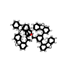 c1ccc(-c2cc(-c3cccc4oc5ccc(-n6c(-c7ccccc7)nc7ccccc76)cc5c34)nc(-c3cc(-c4cccc5oc6ccccc6c45)cc(-c4cccc5oc6ccccc6c45)c3)n2)cc1